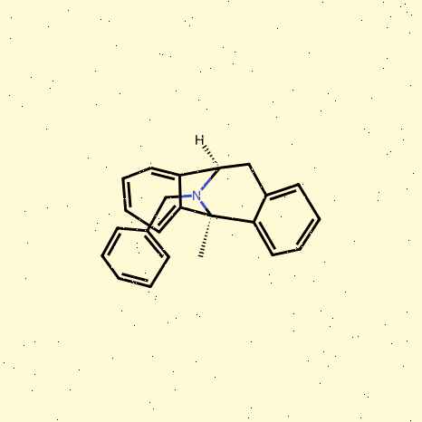 C[C@]12c3ccccc3C[C@H](c3ccccc31)N2Cc1ccccc1